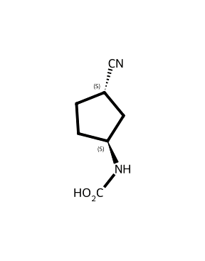 N#C[C@H]1CC[C@H](NC(=O)O)C1